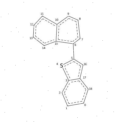 c1ccc2sc(-c3cccc4ccccc34)cc2c1